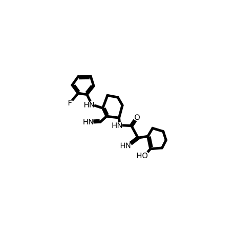 N=CC1=C(Nc2ccccc2F)CCCC1NC(=O)C(=N)C1=C(O)CCCC1